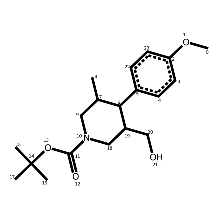 COc1ccc(C2C(C)CN(C(=O)OC(C)(C)C)CC2CO)cc1